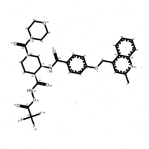 Cc1cc(COc2ccc(C(=O)N[C@@H]3CN(C(=O)N4CCOCC4)CC[C@@H]3C(=O)NOC(=O)C(F)(F)F)cc2)c2ccccc2n1